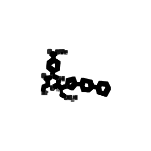 COC(=O)c1ccc(N(NC(=O)[C@H](CC(=O)O)n2ccc(-c3ccc(-c4ccccc4)cc3)c2)C(=O)CCC(C)C)cc1